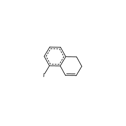 Ic1cccc2c1C=CCC2